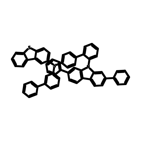 c1ccc(-c2cccc(N(c3ccc(-c4ccccc4-n4c5cc(-c6ccccc6)ccc5c5ccc(-c6ccccc6)cc54)cc3)c3ccc4sc5ccccc5c4c3)c2)cc1